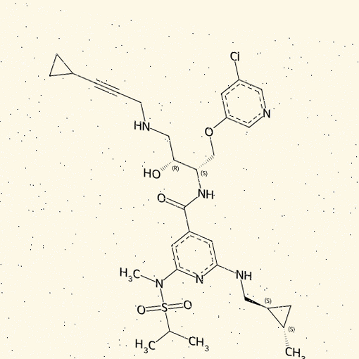 CC(C)S(=O)(=O)N(C)c1cc(C(=O)N[C@@H](COc2cncc(Cl)c2)[C@H](O)CNCC#CC2CC2)cc(NC[C@H]2C[C@@H]2C)n1